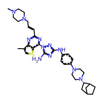 Cc1csc2c(-n3nc(Nc4ccc(N5CCN([C@H]6CC7CCC6C7)CC5)cc4)nc3N)nc(/C=C/CN3CCN(C)CC3)nc12